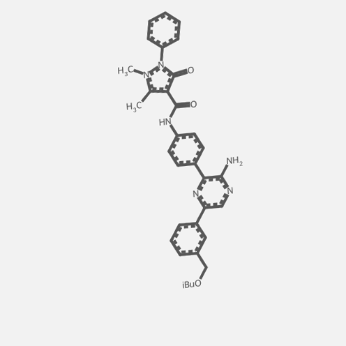 Cc1c(C(=O)Nc2ccc(-c3nc(-c4cccc(COCC(C)C)c4)cnc3N)cc2)c(=O)n(-c2ccccc2)n1C